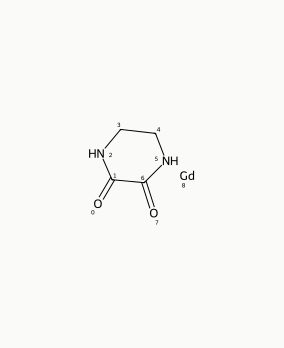 O=C1NCCNC1=O.[Gd]